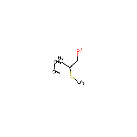 CC.CSC(C)CO